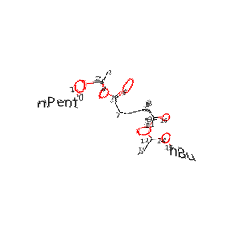 CCCCCOC(C)OC(=O)CCC(=O)OC(C)OCCCC